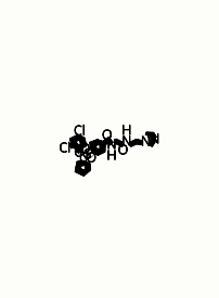 O=C(CNC(=O)c1ccc(S(=O)(=O)N(Oc2ccc(Cl)cc2Cl)c2ccccc2)cc1)NCCCn1ccnc1